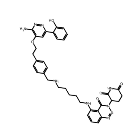 Nc1nnc(-c2ccccc2O)cc1OCCc1ccc(CNCCCCCNc2cccc3nnn(C4CCC(=O)NC4=O)c(=O)c23)cc1